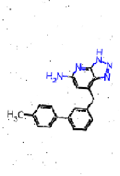 Cc1ccc(-c2cccc(Cc3cc(N)nc4[nH]nnc34)c2)cc1